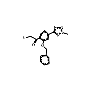 Cn1nnc(-c2ccc(C(=O)CBr)c(OCc3ccccc3)c2)n1